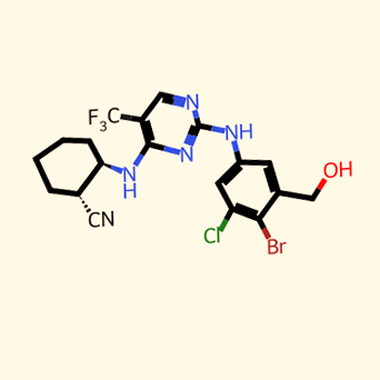 N#C[C@@H]1CCCC[C@H]1Nc1nc(Nc2cc(Cl)c(Br)c(CO)c2)ncc1C(F)(F)F